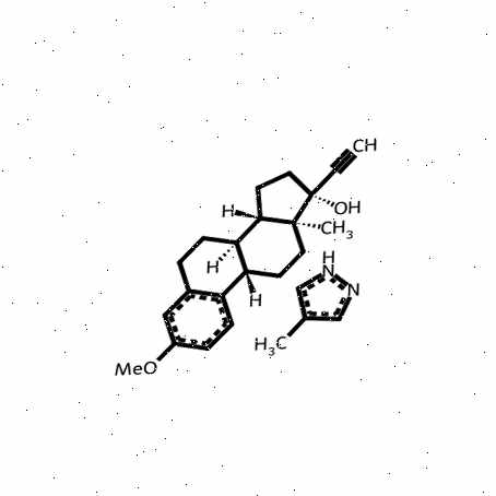 C#C[C@]1(O)CC[C@H]2[C@@H]3CCc4cc(OC)ccc4[C@H]3CC[C@@]21C.Cc1cn[nH]c1